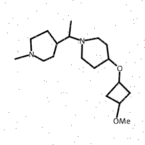 COC1CC(OC2CCN(C(C)C3CCN(C)CC3)CC2)C1